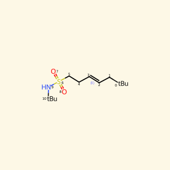 CC(C)(C)C/C=C/CCS(=O)(=O)NC(C)(C)C